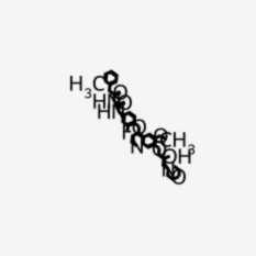 COc1cc2c(Oc3ccc(NC(=O)NC(=O)Cc4ccccc4C)cc3F)ccnc2cc1OCC(O)CN1CCOCC1